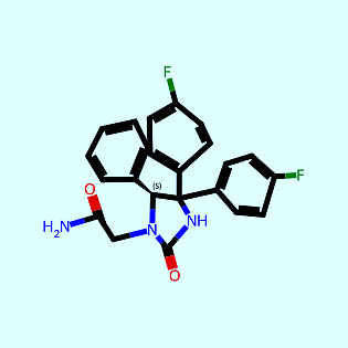 NC(=O)CN1C(=O)NC(c2ccc(F)cc2)(c2ccc(F)cc2)[C@@H]1c1ccccc1